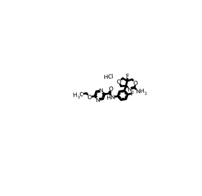 CCOc1cnc(C(=O)Nc2ccc(F)c(C34COCC3(F)COC(N)=N4)c2)cn1.Cl